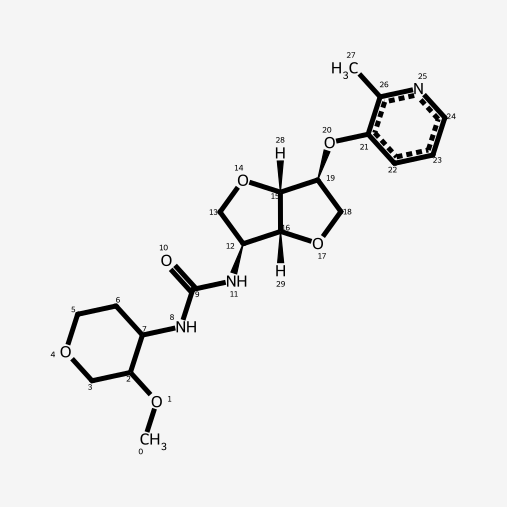 COC1COCCC1NC(=O)N[C@H]1CO[C@H]2[C@@H]1OC[C@@H]2Oc1cccnc1C